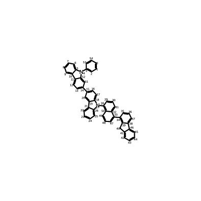 c1ccc(-n2c3ccccc3c3ccc(-c4ccc5c(c4)c4ccccc4n5-c4cccc5c(-c6cccc7c6Cc6ccccc6-7)cccc45)cc32)cc1